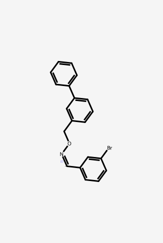 Brc1cccc(/[C]=N\OCc2cccc(-c3ccccc3)c2)c1